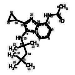 CC(=O)Nc1cccn2c(NC(C)(C)CC(C)(C)C)c(C3CC3)nc12